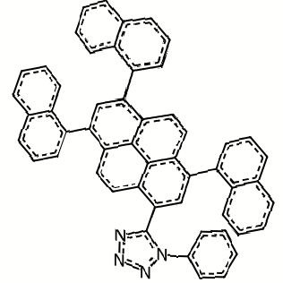 c1ccc(-n2nnnc2-c2cc(-c3cccc4ccccc34)c3ccc4c(-c5cccc6ccccc56)cc(-c5cccc6ccccc56)c5ccc2c3c45)cc1